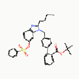 CCCCc1nc2ccc(OS(=O)(=O)c3ccccc3)cc2n1Cc1ccc(-c2ccccc2C(=O)OC(C)(C)C)cc1